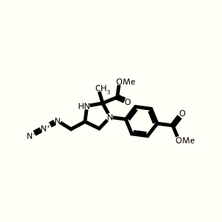 COC(=O)c1ccc(N2CC(CN=[N+]=[N-])NC2(C)C(=O)OC)cc1